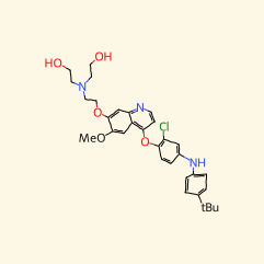 COc1cc2c(Oc3ccc(Nc4ccc(C(C)(C)C)cc4)cc3Cl)ccnc2cc1OCCN(CCO)CCO